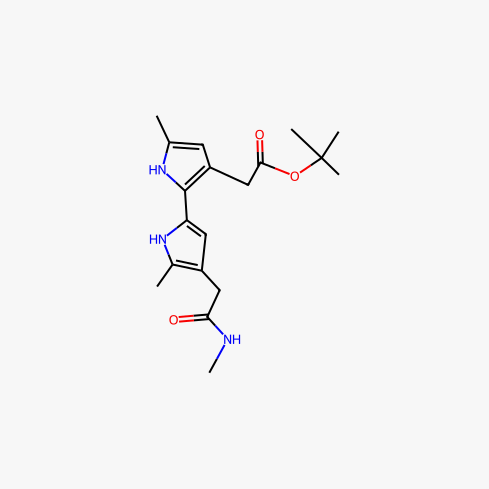 CNC(=O)Cc1cc(-c2[nH]c(C)cc2CC(=O)OC(C)(C)C)[nH]c1C